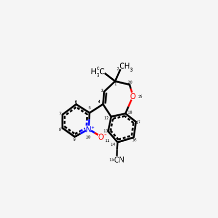 CC1(C)C=C(c2cccc[n+]2[O-])c2cc(C#N)ccc2OC1